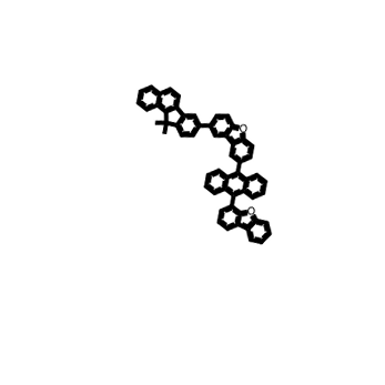 CC1(C)c2ccc(-c3ccc4oc5ccc(-c6c7ccccc7c(-c7cccc8c7oc7ccccc78)c7ccccc67)cc5c4c3)cc2-c2ccc3ccccc3c21